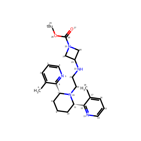 Cc1cccnc1[C@H]1CCC[C@@H](c2ncccc2C)N1CCNC1CN(C(=O)OC(C)(C)C)C1